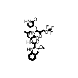 COC[C@H](Nc1ccccc1F)C(=O)N[C@@H](CC(C)C)C(=O)N[C@@H](C[C@@H]1CCNC1=O)C(=O)COC(F)(F)F